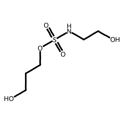 O=S(=O)(NCCO)OCCCO